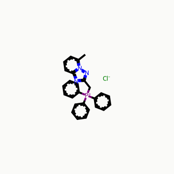 Cc1cccc2nc(C[P+](c3ccccc3)(c3ccccc3)c3ccccc3)nn12.[Cl-]